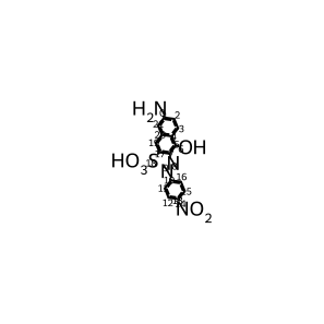 Nc1ccc2c(O)c(N=Nc3ccc([N+](=O)[O-])cc3)c(S(=O)(=O)O)cc2c1